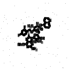 COc1nc(N)nc2c1nc(I)n2C1O[C@H](COP(=O)(N[C@@H](C)C(=O)OCc2ccc(F)cc2F)Oc2cccc3ncccc23)[C@@H](O)[C@@]1(C)O